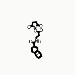 O=C(CCNC(=O)c1ccc2c(c1)C1C=CC2O1)ON1C(=O)CCC1=O